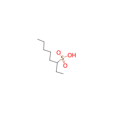 CCCCCC(CC)S(=O)(=O)O